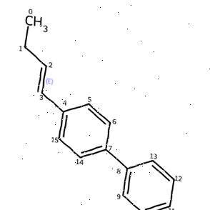 CC/C=C/c1ccc(-c2ccccc2)cc1